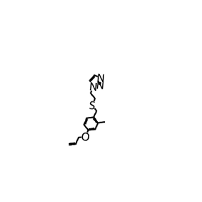 C=CCOc1ccc(CSCCn2ccnn2)c(C)c1